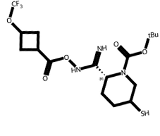 CC(C)(C)OC(=O)N1CC(S)CC[C@@H]1C(=N)NOC(=O)C1CC(OC(F)(F)F)C1